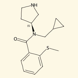 CSc1ccccc1C(=O)N(CC1CC1)[C@H]1CCNC1